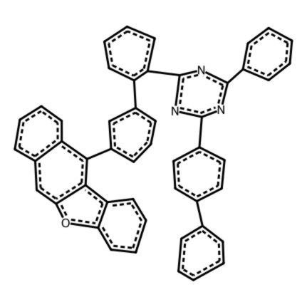 c1ccc(-c2ccc(-c3nc(-c4ccccc4)nc(-c4ccccc4-c4cccc(-c5c6ccccc6cc6oc7ccccc7c56)c4)n3)cc2)cc1